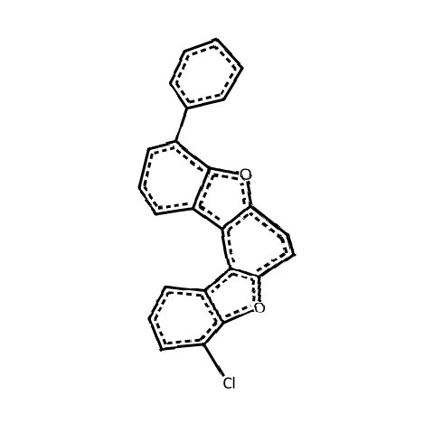 Clc1cccc2c1oc1ccc3oc4c(-c5ccccc5)cccc4c3c12